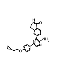 Nc1ncc(-c2ccc(OCCC3CC3)cc2)nc1-c1ccc2c(c1)CCNC2=O